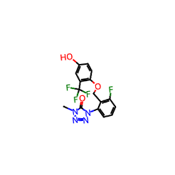 Cn1nnn(-c2cccc(F)c2COc2ccc(O)cc2C(F)(F)F)c1=O